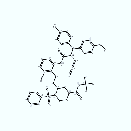 COc1ccc([C@H](c2ccc(Cl)cc2)[C@H](N=[N+]=[N-])C(=O)Nc2cccc(F)c2CCC2CN(C(=O)OC(C)(C)C)CCN2S(=O)(=O)c2ccccc2)cn1